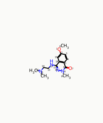 COc1ccc2c(=O)n(C)nc(NCCN(C)C)c2c1